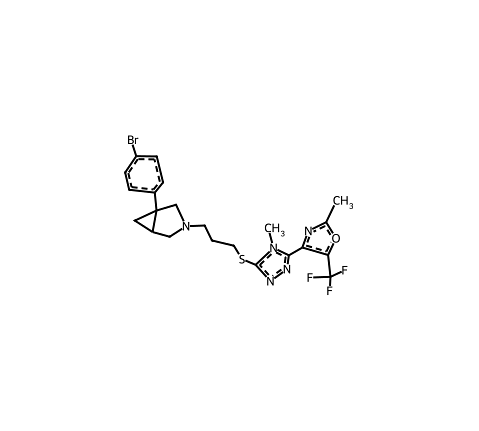 Cc1nc(-c2nnc(SCCCN3CC4CC4(c4ccc(Br)cc4)C3)n2C)c(C(F)(F)F)o1